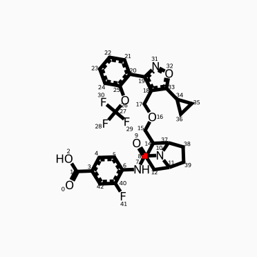 O=C(O)c1ccc(NC(=O)N2C3CCC(COCc4c(-c5ccccc5OC(F)(F)F)noc4C4CC4)C2CC3)c(F)c1